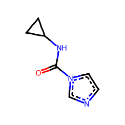 O=C(NC1CC1)n1ccnc1